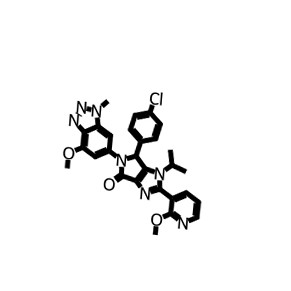 COc1ncccc1-c1nc2c(n1C(C)C)C(c1ccc(Cl)cc1)N(c1cc(OC)c3nnn(C)c3c1)C2=O